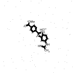 COC(=O)c1ccc(-c2nc3cc(NC(C)=N)ccc3[nH]2)cc1.Cl